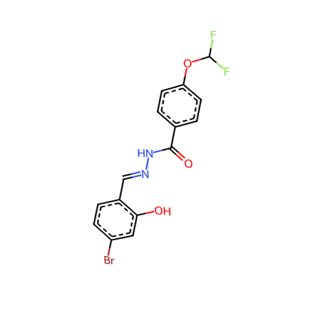 O=C(NN=Cc1ccc(Br)cc1O)c1ccc(OC(F)F)cc1